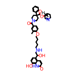 Cc1cc(C(=O)N2CCC(C(=O)O[C@H]3CN4CCC3CC4)(c3ccccc3)CC2)ccc1OCCCCCNCC(O)c1ccc(O)c2[nH]c(=O)ccc12